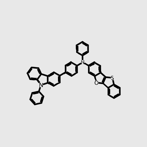 c1ccc(N(c2ccc(-c3ccc4c(c3)c3ccccc3n4-c3ccccc3)cc2)c2ccc3c(c2)oc2c4ccccc4sc32)cc1